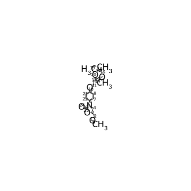 COCC1CN(c2ccc(OCCC3(C)OCC(C)(C)O3)cc2)C(=O)O1